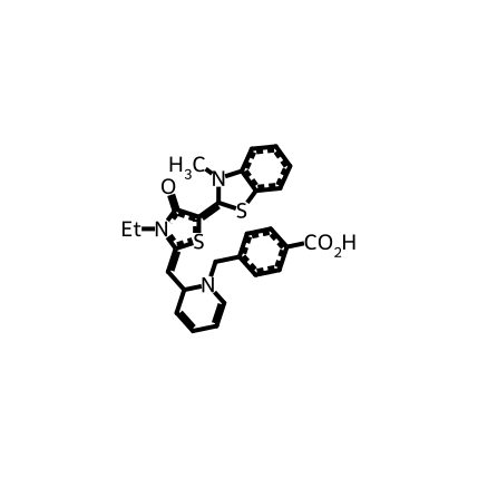 CCn1c(=CC2C=CC=CN2Cc2ccc(C(=O)O)cc2)sc(=C2Sc3ccccc3N2C)c1=O